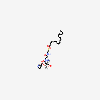 CC/C=C\C/C=C\C/C=C\C/C=C\C/C=C\C/C=C\CC(=O)OSCCNC(=O)CCNC(=O)[C@H](OC(=O)c1cccnc1)C(C)(C)CO